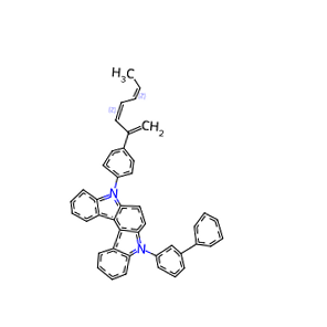 C=C(/C=C\C=C/C)c1ccc(-n2c3ccccc3c3c4c5ccccc5n(-c5cccc(-c6ccccc6)c5)c4ccc32)cc1